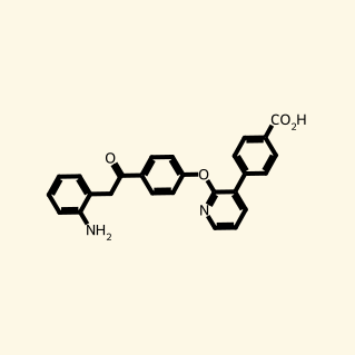 Nc1ccccc1CC(=O)c1ccc(Oc2ncccc2-c2ccc(C(=O)O)cc2)cc1